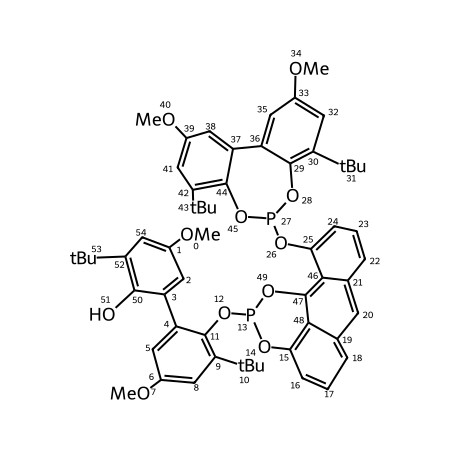 COc1cc(-c2cc(OC)cc(C(C)(C)C)c2OP2Oc3cccc4cc5cccc(Op6oc7c(C(C)(C)C)cc(OC)cc7c7cc(OC)cc(C(C)(C)C)c7o6)c5c(c34)O2)c(O)c(C(C)(C)C)c1